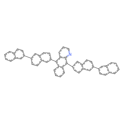 c1ccc2cc(-c3ccc4cc(-c5c6ccccc6c(-c6ccc7cc(-c8ccc9ccccc9c8)ccc7c6)c6ncccc56)ccc4c3)ccc2c1